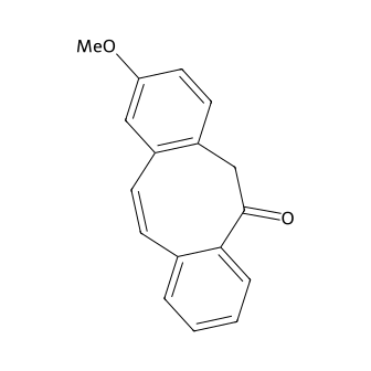 COc1ccc2c(c1)C=Cc1ccccc1C(=O)C2